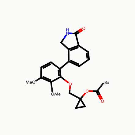 CCC(C)C(=O)OC1(COc2c(-c3cccc4c3CNC4=O)ccc(OC)c2OC)CC1